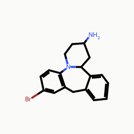 NC1CCN2c3ccc(Br)cc3Cc3ccccc3C2C1